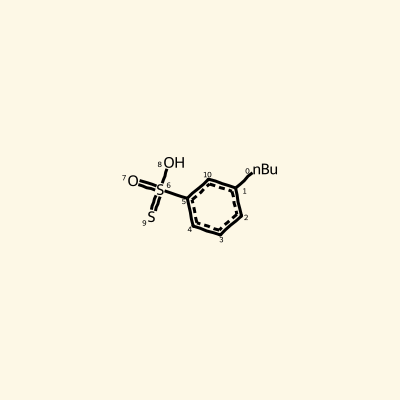 CCCCc1cccc(S(=O)(O)=S)c1